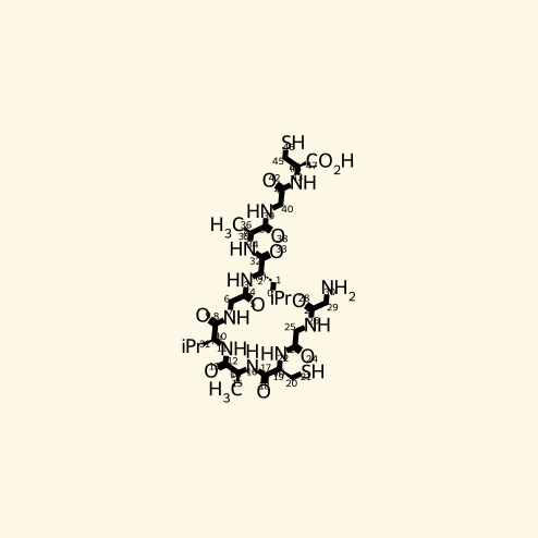 CC(C)C[C@H](NC(=O)CNC(=O)[C@@H](NC(=O)[C@H](C)NC(=O)[C@H](CS)NC(=O)CNC(=O)CN)C(C)C)C(=O)N[C@@H](C)C(=O)NCC(=O)N[C@@H](CS)C(=O)O